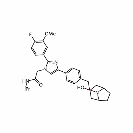 COc1cc(-c2nc(-c3ccc(CCN4C5CCC4CC(O)C5)cc3)cn2CC(=O)NC(C)C)ccc1F